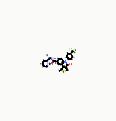 Cc1scc2c(=O)n(-c3ccc(C(F)(F)F)cc3)c3ccc(C(=O)N[C@@H](C)c4ccccn4)cc3c12